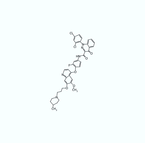 COc1cc2c(Oc3ccc(NC(=O)c4nn(-c5ccc(Cl)cc5Cl)c5ccccc5c4=O)cc3F)ccnc2cc1OCCCN1CCC(C)CC1